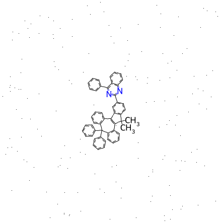 CC1(C)C2=C(c3cc(-c4nc(-c5ccccc5)c5ccccc5n4)ccc31)c1ccccc1C(c1ccccc1)(c1ccccc1)c1ccccc12